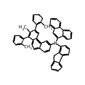 CC1=C(c2cc3c(ccc4ccc(N(c5cccc6c5Cc5ccccc5-6)c5cc6ccccc6c6ccccc56)cc43)c(-c3ccccc3C)c2C)C=CCC1